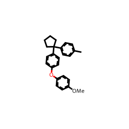 COc1ccc(Oc2ccc(C3(c4ccc(C)cc4)CCCC3)cc2)cc1